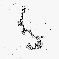 COC1=CC[C@@H]([C@@H](C)/C=C(C)/C=C\C=C/C(=O)N[C@H](C(=O)N/C=C\C[C@H](C/C=C(\C)Cl)OC(=O)NCCCSSCCCNC(=O)O[C@H](C/C=C\NC(=O)[C@@H](NC(=O)\C=C/C=C\C(C)=C\[C@H](C)[C@@H]2CC=C(OC)C(=O)O2)C(C)(C)C)C/C=C(\C)Cl)C(C)(C)C)OC1=O